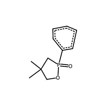 CC1(C)COP(=O)(c2ccccc2)C1